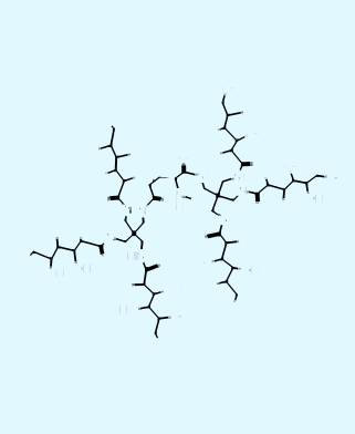 CN[C@@H](CCC(=O)NCC(CNC(=O)C(O)C(O)C(O)C(O)CO)(CNC(=O)C(O)C(O)C(O)C(O)CO)CNC(=O)C(O)C(O)C(O)C(O)CO)C(=O)NCC(CNC(=O)C(O)C(O)C(O)C(O)CO)(CNC(=O)C(O)C(O)C(O)C(O)CO)CNC(=O)C(O)C(O)C(O)C(O)CO